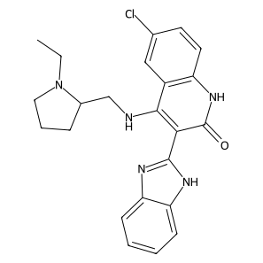 CCN1CCCC1CNc1c(-c2nc3ccccc3[nH]2)c(=O)[nH]c2ccc(Cl)cc12